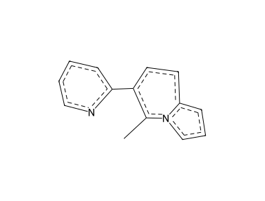 Cc1c(-c2ccccn2)ccc2cccn12